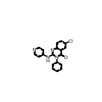 O=c1c2cc(Cl)ccc2nc(Nc2ccncc2)n1-c1ccccc1